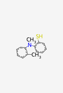 Cc1ccccc1N(C)c1ccccc1S